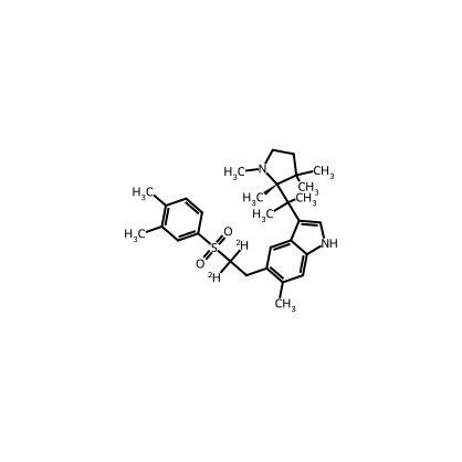 [2H]C([2H])(Cc1cc2c(C(C)(C)[C@]3(C)N(C)CCC3(C)C)c[nH]c2cc1C)S(=O)(=O)c1ccc(C)c(C)c1